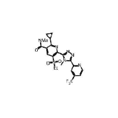 CCS(=O)(=O)c1cc(C(=O)NC)c(C2CC2)nc1-c1nnc(-c2cc(C(F)(F)F)ccn2)n1C